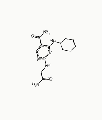 NC(=O)CNc1ncc(C(N)=O)c(NC2CCCCC2)n1